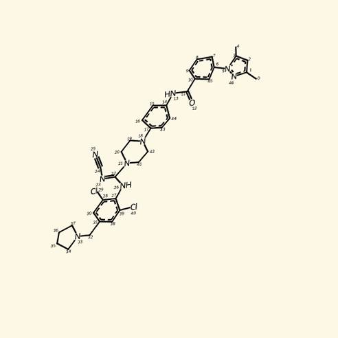 Cc1cc(C)n(-c2cccc(C(=O)Nc3ccc(N4CCN(/C(=N\C#N)Nc5c(Cl)cc(CN6CCCC6)cc5Cl)CC4)cc3)c2)n1